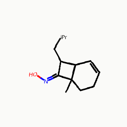 CC(C)CC1C(=NO)C2(C)CCC=CC12